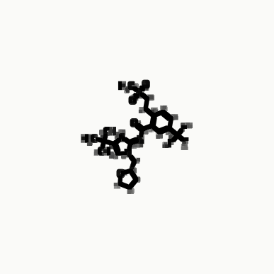 CC(C)(C)c1cn(C[C@H]2CCCO2)c(=NC(=O)c2cc(C(F)(F)F)ccc2CCS(C)(=O)=O)s1